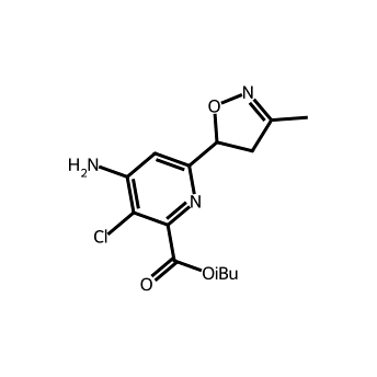 CC1=NOC(c2cc(N)c(Cl)c(C(=O)OCC(C)C)n2)C1